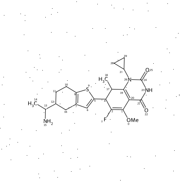 COC1=C(F)C(c2cc3c(s2)CCC(C(C)N)C3)C(C)c2c1c(=O)[nH]c(=O)n2C1CC1